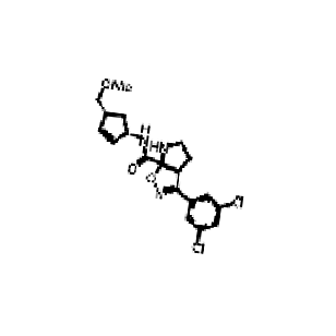 COC[C@@H]1C=C[C@H](NC(=O)C23NCCC2C(c2cc(Cl)cc(Cl)c2)=NO3)C1